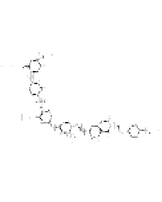 O=[N+]([O-])c1ccc(N=Nc2c(S(=O)(=O)O)cc3cc(N=Nc4ccc(Nc5ccc(N=Nc6ccc(Nc7ccc([N+](=O)[O-])cc7S(=O)(=O)O)cc6)c(O)c5)cc4O)ccc3c2O)cc1